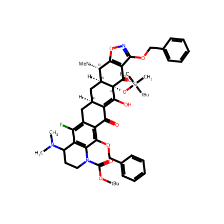 CN[C@@H]1c2onc(OCc3ccccc3)c2C(=O)[C@@]2(O[Si](C)(C)C(C)(C)C)C(O)=C3C(=O)c4c(c(F)c5c(c4OCc4ccccc4)N(C(=O)OC(C)(C)C)CCC5N(C)C)C[C@H]3C[C@@H]12